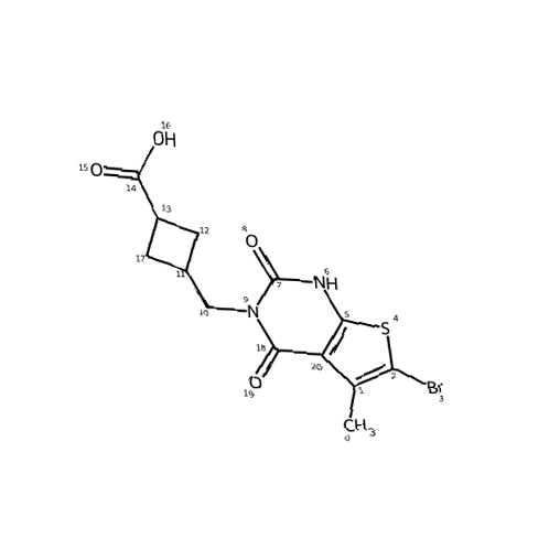 Cc1c(Br)sc2[nH]c(=O)n(CC3CC(C(=O)O)C3)c(=O)c12